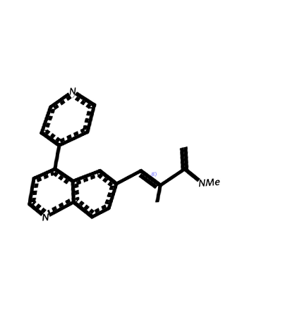 C=C(NC)/C(C)=C/c1ccc2nccc(-c3ccncc3)c2c1